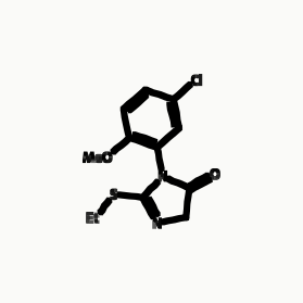 CCSC1=NCC(=O)N1c1cc(Cl)ccc1OC